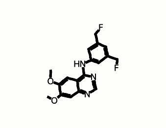 COc1cc2ncnc(Nc3cc(CF)cc(CF)c3)c2cc1OC